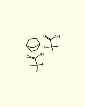 C1CC2CCC1CC2.O=C(O)C(F)(F)F.O=C(O)C(F)(F)F